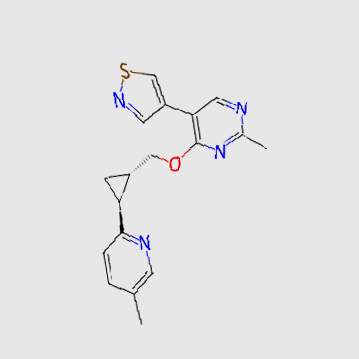 Cc1ccc([C@H]2C[C@@H]2COc2nc(C)ncc2-c2cnsc2)nc1